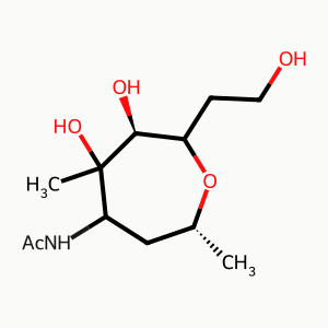 CC(=O)NC1C[C@@H](C)OC(CCO)[C@H](O)C1(C)O